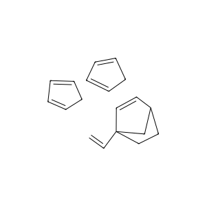 C1=CCC=C1.C1=CCC=C1.C=CC12C=CC(CC1)C2